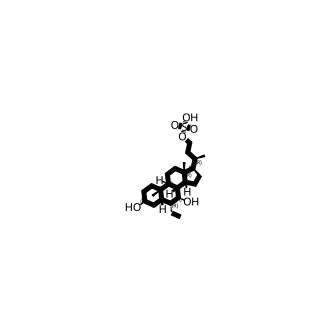 CC[C@H]1[C@@H](O)[C@@H]2[C@H](CC[C@]3(C)[C@@H]([C@H](C)CCOS(=O)(=O)O)CC[C@@H]23)[C@@]2(C)CC[C@@H](O)C[C@@H]12